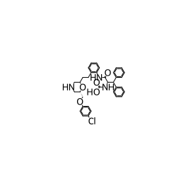 O=C(O)NC(C(=O)Nc1ccccc1CCC1CNC[C@@H](COc2ccc(Cl)cc2)O1)C(c1ccccc1)c1ccccc1